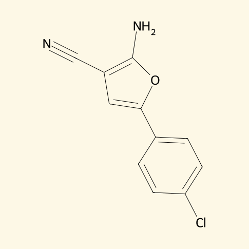 N#Cc1cc(-c2ccc(Cl)cc2)oc1N